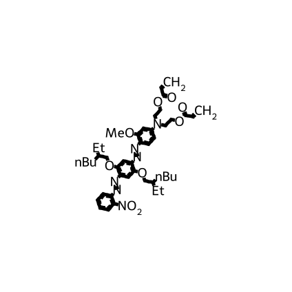 C=CC(=O)OCCN(CCOC(=O)C=C)c1ccc(/N=N/c2cc(OCC(CC)CCCC)c(/N=N/c3ccccc3[N+](=O)[O-])cc2OCC(CC)CCCC)c(OC)c1